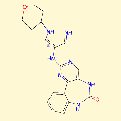 N=C/C(=C\NC1CCOCC1)Nc1ncc2c(n1)-c1ccccc1NC(=O)N2